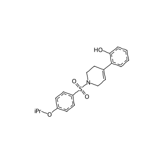 CC(C)Oc1ccc(S(=O)(=O)N2CC=C(c3ccccc3O)CC2)cc1